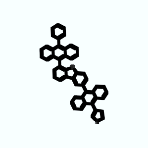 c1ccc(-c2c3ccccc3c(-c3cccc4c3oc3ccc(-c5c6ccccc6c(-c6ccsc6)c6ccccc56)cc34)c3ccccc23)cc1